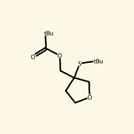 CC(C)(C)SC1(COC(=O)C(C)(C)C)CCOC1